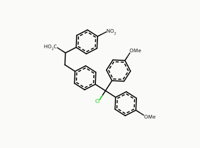 COc1ccc(C(Cl)(c2ccc(CC(C(=O)O)c3ccc([N+](=O)[O-])cc3)cc2)c2ccc(OC)cc2)cc1